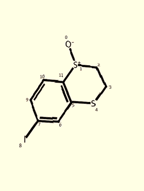 [O-][S+]1CCSc2cc(I)ccc21